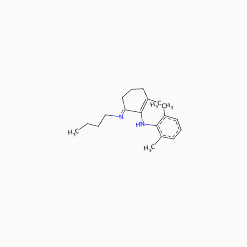 CCCC/N=C1\CCCC(C)=C1Nc1c(C)cccc1C